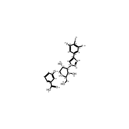 O=C(O)c1cccc(S[C@H]2O[C@H](CO)[C@H](O)[C@H](n3cc(-c4cc(F)c(F)c(F)c4)nn3)[C@H]2O)c1